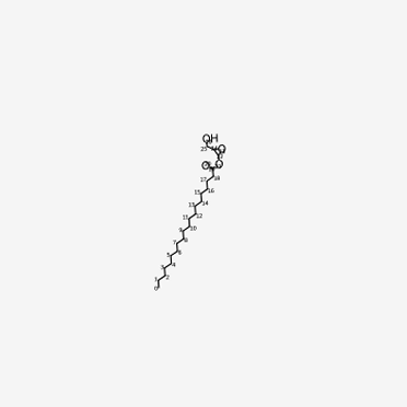 CCCCCCCCCCCCCCCCCCCC(=O)OC1OC1CO